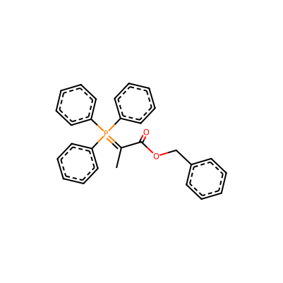 CC(C(=O)OCc1ccccc1)=P(c1ccccc1)(c1ccccc1)c1ccccc1